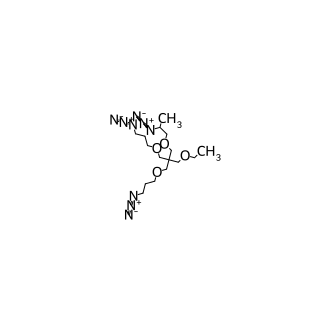 CCOCC(COCCCN=[N+]=[N-])(COCCCN=[N+]=[N-])COCC(C)N=[N+]=[N-]